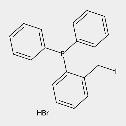 Br.ICc1ccccc1P(c1ccccc1)c1ccccc1